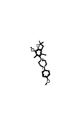 COc1ccc(N2CCN(c3c(C)c4c(c(OC)c3C)OC(C)(C)C4)CC2)cc1